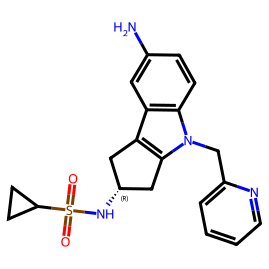 Nc1ccc2c(c1)c1c(n2Cc2ccccn2)C[C@H](NS(=O)(=O)C2CC2)C1